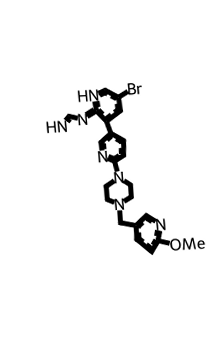 COc1ccc(CN2CCN(c3ccc(-c4cc(Br)c[nH]/c4=N\C=N)cn3)CC2)cn1